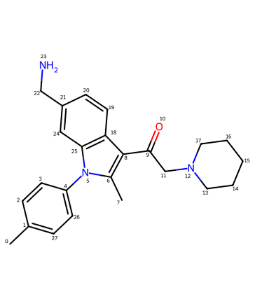 Cc1ccc(-n2c(C)c(C(=O)CN3CCCCC3)c3ccc(CN)cc32)cc1